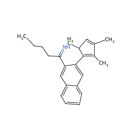 CCCCC(=N)c1cc2ccccc2cc1C1=C(C)C(C)=CC1C